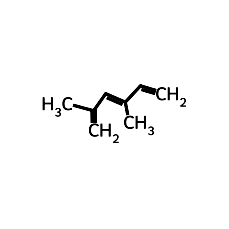 C=C/C(C)=C/C(=C)C